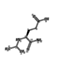 CC(C)N[C@@H](CCC(=O)O)C(N)=O